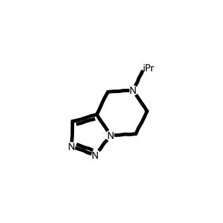 CC(C)N1CCn2nncc2C1